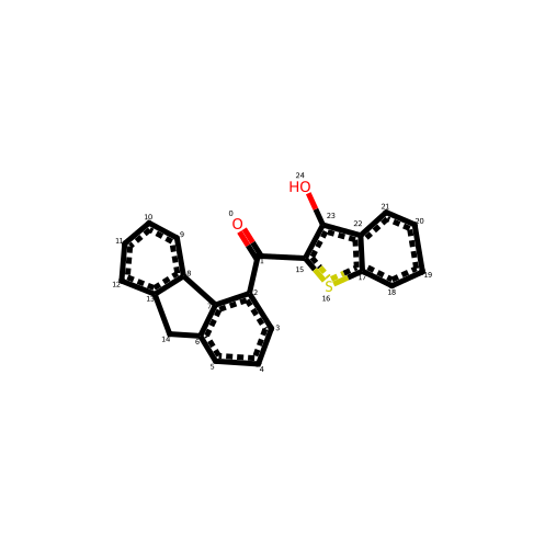 O=C(c1cccc2c1-c1ccccc1C2)c1sc2ccccc2c1O